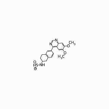 COc1cc2ncnc(-c3ccc4c(c3)CCC(N[SH](=O)=O)C4)c2cc1OC